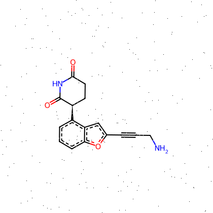 NCC#Cc1cc2c([C@@H]3CCC(=O)NC3=O)cccc2o1